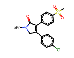 CCCN1CC(c2ccc(Cl)cc2)=C(c2ccc(S(C)(=O)=O)cc2)C1=O